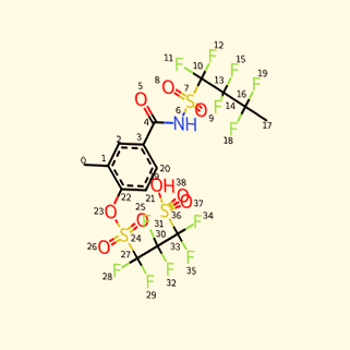 Cc1cc(C(=O)NS(=O)(=O)C(F)(F)C(F)(F)C(C)(F)F)ccc1OS(=O)(=O)C(F)(F)C(F)(F)C(F)(F)S(=O)(=O)O